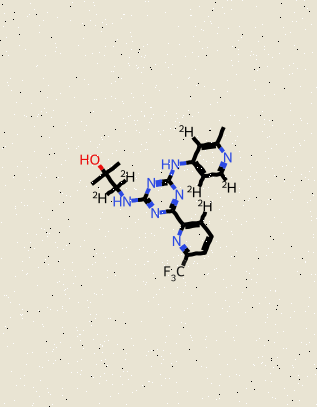 [2H]c1ccc(C(F)(F)F)nc1-c1nc(Nc2c([2H])c([2H])nc(C)c2[2H])nc(NC([2H])([2H])C(C)(C)O)n1